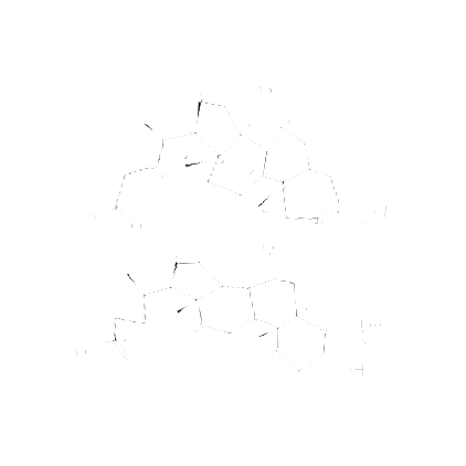 C[C@H](CCC(=O)[O-])[C@H]1CCC2C3C(CC[C@@]21C)[C@@]1(C)CC[C@@H](O)CC1C[C@H]3O.C[C@H](CCC(=O)[O-])[C@H]1CCC2C3C(CC[C@@]21C)[C@@]1(C)CC[C@@H](O)CC1C[C@H]3O.[Fe+2]